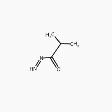 CC(C)C(=O)N=N